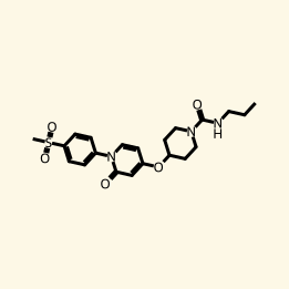 CCCNC(=O)N1CCC(Oc2ccn(-c3ccc(S(C)(=O)=O)cc3)c(=O)c2)CC1